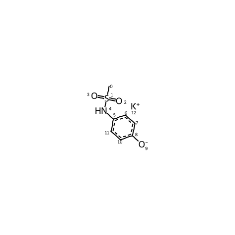 CS(=O)(=O)Nc1ccc([O-])cc1.[K+]